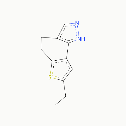 CCc1cc2c(s1)CCc1cn[nH]c1-2